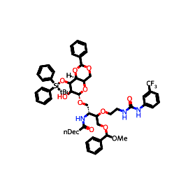 CCCCCCCCCCC(=O)N[C@H](CO[C@H]1OC2COC(c3ccccc3)O[C@@H]2C(O[Si](c2ccccc2)(c2ccccc2)C(C)(C)C)C1O)C(COC(OC)c1ccccc1)OCCNC(=O)Nc1cccc(C(F)(F)F)c1